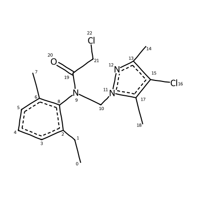 CCc1cccc(C)c1N(Cn1nc(C)c(Cl)c1C)C(=O)CCl